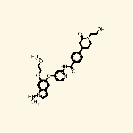 CNn1ccc2cc(Oc3ccnc(NC(=O)c4ccc(C5CCN(CCO)C(=O)C5)cc4)c3)c(OCCOC)cc21